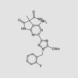 COc1nc(-c2nc(N)c3c(n2)NC(=O)C3(C)C(N)=O)nn1Cc1ccccc1F